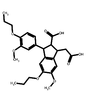 CCCOc1ccc(C2c3cc(OCCC)c(OC)cc3C(CC(=O)O)C2C(=O)O)cc1OC